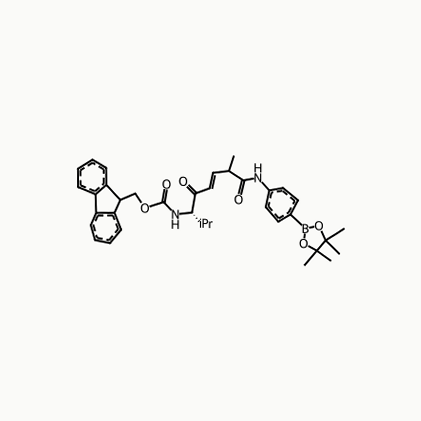 CC(/C=C/C(=O)[C@@H](NC(=O)OCC1c2ccccc2-c2ccccc21)C(C)C)C(=O)Nc1ccc(B2OC(C)(C)C(C)(C)O2)cc1